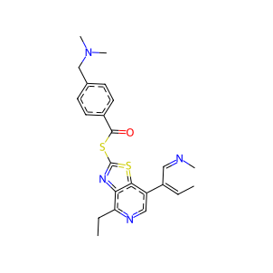 C/C=C(\C=N/C)c1cnc(CC)c2nc(SC(=O)c3ccc(CN(C)C)cc3)sc12